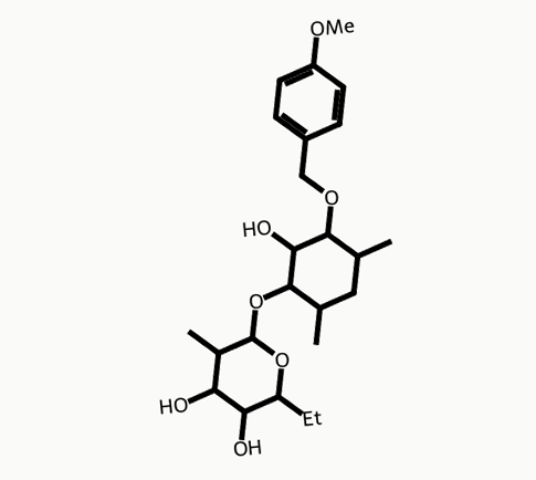 CCC1OC(OC2C(C)CC(C)C(OCc3ccc(OC)cc3)C2O)C(C)C(O)C1O